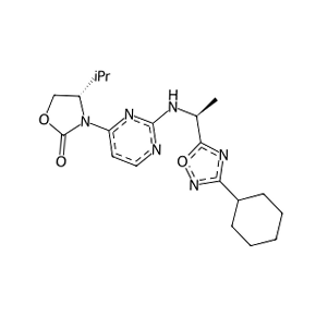 CC(C)[C@H]1COC(=O)N1c1ccnc(N[C@@H](C)c2nc(C3CCCCC3)no2)n1